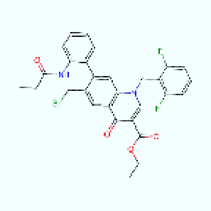 CCOC(=O)c1cn(Cc2c(F)cccc2F)c2cc(-c3ccccc3NC(=O)CC)c(CBr)cc2c1=O